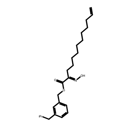 C=CCCCCCCCCCC(=NO)C(=O)OCc1cccc(CC(C)C)c1